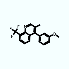 COc1cccc(-c2c(C)cnc3c(C(F)(F)F)cccc23)c1